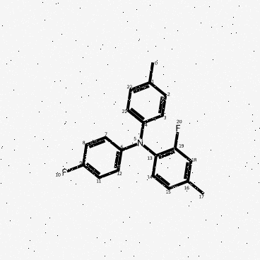 Cc1ccc(N(c2ccc(F)cc2)c2ccc(C)cc2F)cc1